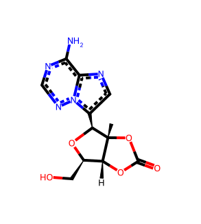 C[C@@]12OC(=O)O[C@@H]1[C@@H](CO)O[C@H]2c1cnc2c(N)ncnn12